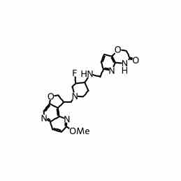 COc1ccc2ncc3c(c2n1)C(CN1CCC(NCc2ccc4c(n2)NC(=O)CO4)C(F)C1)CO3